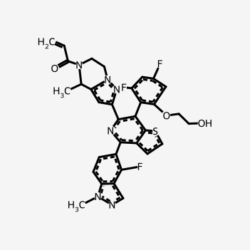 C=CC(=O)N1CCn2nc(-c3nc(-c4ccc5c(cnn5C)c4F)c4ccsc4c3-c3c(F)cc(F)cc3OCCO)cc2C1C